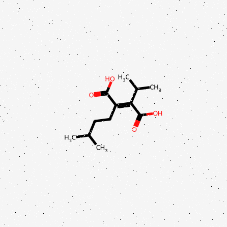 CC(C)CCC(C(=O)O)=C(C(=O)O)C(C)C